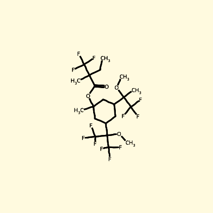 CCC(C)(C(=O)OC1(C)CC(C(C)(OC)C(F)(F)F)CC(C(OC)(C(F)(F)F)C(F)(F)F)C1)C(F)(F)F